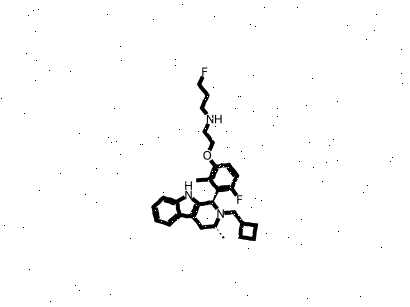 Cc1c(OCCNCCCF)ccc(F)c1[C@@H]1c2[nH]c3ccccc3c2C[C@@H](C)N1CC1CCC1